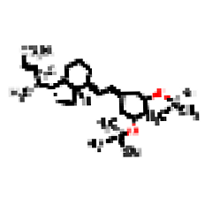 CCOC(=O)/C=C/[C@@H](C)[C@H]1CC[C@H]2/C(=C/C=C3C[C@@H](O[Si](C)(C)C(C)(C)C)C[C@H](O[Si](C)(C)C(C)(C)C)C3)CCC[C@]12C